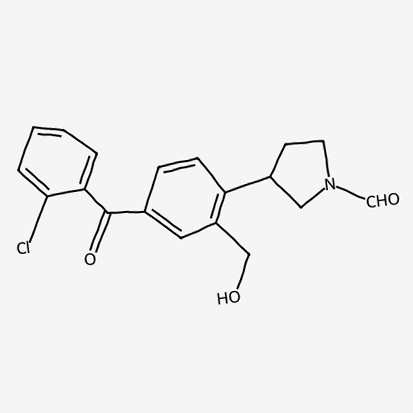 O=CN1CCC(c2ccc(C(=O)c3ccccc3Cl)cc2CO)C1